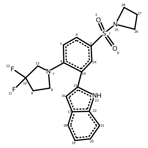 O=S(=O)(c1ccc(N2CCC(F)(F)C2)c(-c2cc3ccccc3[nH]2)c1)N1CCC1